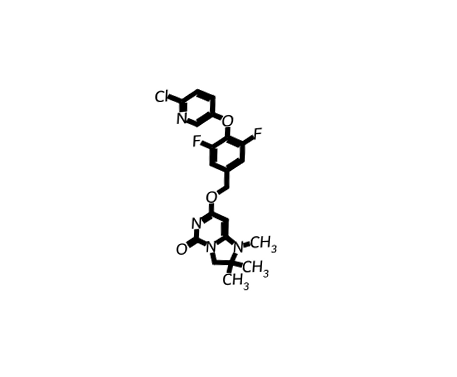 CN1c2cc(OCc3cc(F)c(Oc4ccc(Cl)nc4)c(F)c3)nc(=O)n2CC1(C)C